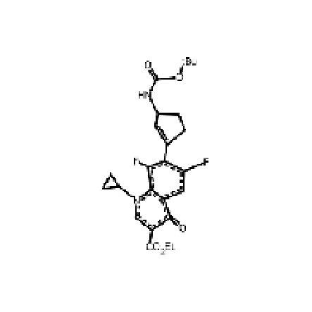 CCOC(=O)c1cn(C2CC2)c2c(F)c(C3=CC(NC(=O)OC(C)(C)C)CC3)c(F)cc2c1=O